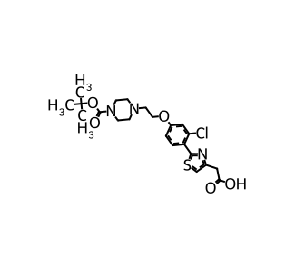 CC(C)(C)OC(=O)N1CCN(CCOc2ccc(-c3nc(CC(=O)O)cs3)c(Cl)c2)CC1